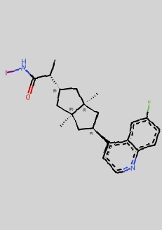 CC(C(=O)NI)[C@H]1C[C@]2(C)C[C@H](c3ccnc4ccc(F)cc34)C[C@]2(C)C1